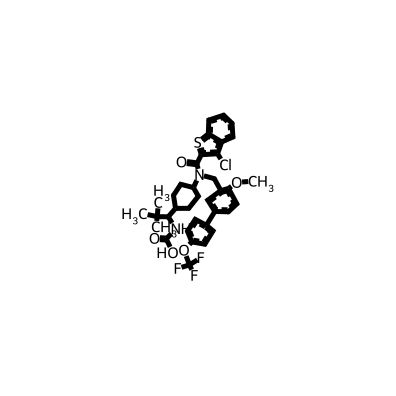 COc1ccc(-c2ccc(OC(F)(F)F)cc2)cc1CN(C(=O)c1sc2ccccc2c1Cl)C1CCC(C(NC(=O)O)C(C)(C)C)CC1